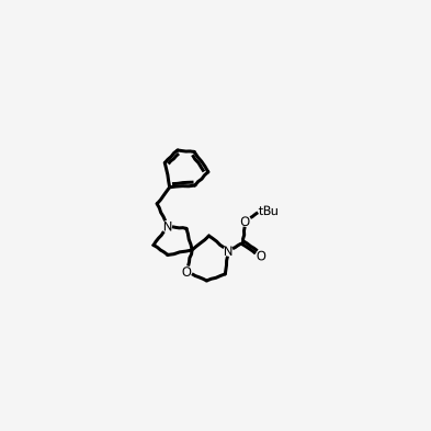 CC(C)(C)OC(=O)N1CCOC2(CCN(Cc3ccccc3)C2)C1